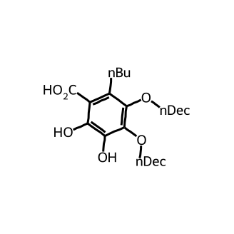 CCCCCCCCCCOc1c(O)c(O)c(C(=O)O)c(CCCC)c1OCCCCCCCCCC